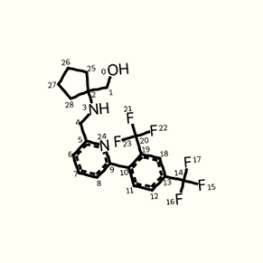 OCC1(NCc2cccc(-c3ccc(C(F)(F)F)cc3C(F)(F)F)n2)CCCC1